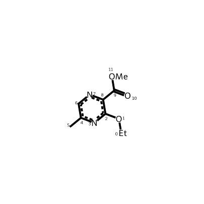 CCOc1nc(C)cnc1C(=O)OC